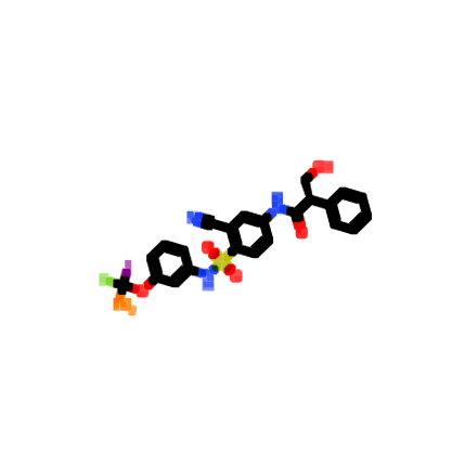 N#Cc1cc(NC(=O)[C@@H](CO)c2ccccc2)ccc1S(=O)(=O)Nc1cccc(OC(F)(P)I)c1